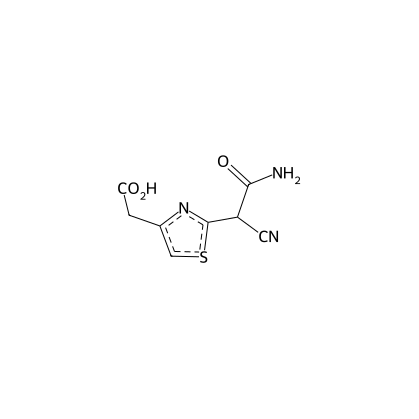 N#CC(C(N)=O)c1nc(CC(=O)O)cs1